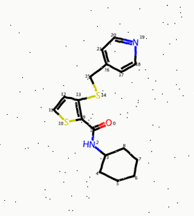 O=C(NC1CCCCC1)c1sccc1SCc1ccncc1